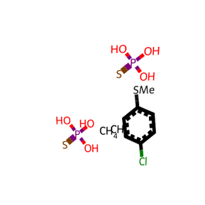 C.C.CSc1ccc(Cl)cc1.OP(O)(O)=S.OP(O)(O)=S